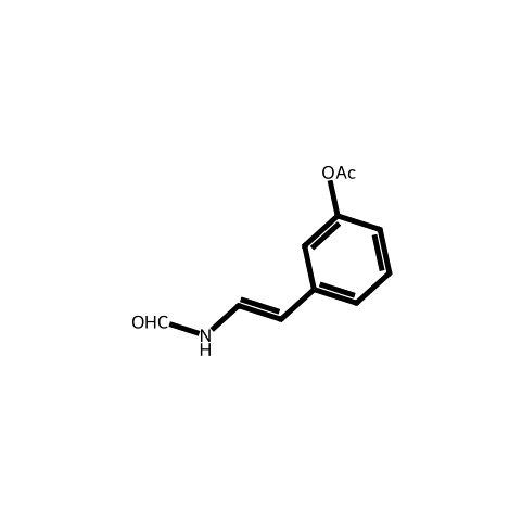 CC(=O)Oc1cccc(C=CNC=O)c1